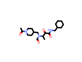 CC(=O)N1CCC(CN(C=O)C(C)C(=O)C(=O)NCC2CCCCC2)CC1